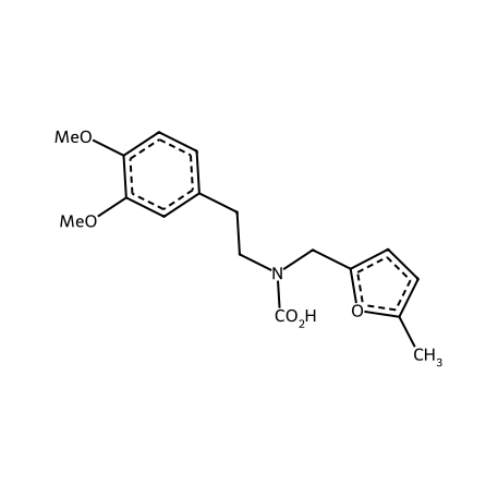 COc1ccc(CCN(Cc2ccc(C)o2)C(=O)O)cc1OC